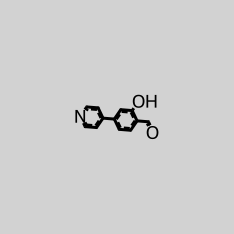 O=Cc1ccc(-c2ccncc2)cc1O